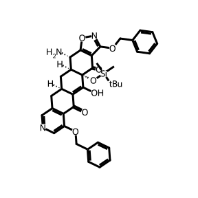 CC(C)(C)[Si](C)(C)O[C@@]12C(=O)c3c(OCc4ccccc4)noc3[C@@H](N)[C@@H]1C[C@@H]1Cc3cncc(OCc4ccccc4)c3C(=O)C1=C2O